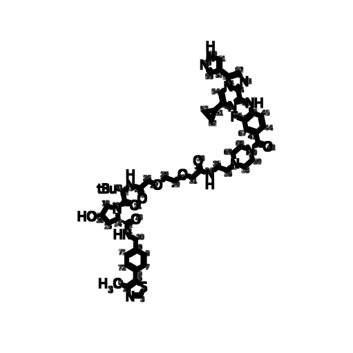 Cc1ncsc1-c1ccc(CNC(=O)[C@@H]2C[C@@H](O)CN2C(=O)[C@@H](NC(=O)COCCOCC(=O)NCCN2CCN(C(=O)c3ccc(Nc4nc(C5CC5)cn5c(-c6cn[nH]c6)cnc45)c(F)c3)CC2)C(C)(C)C)cc1